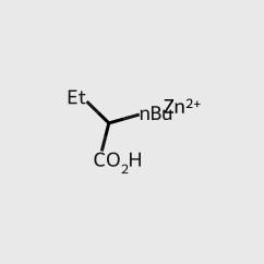 CCCCC(CC)C(=O)O.[Zn+2]